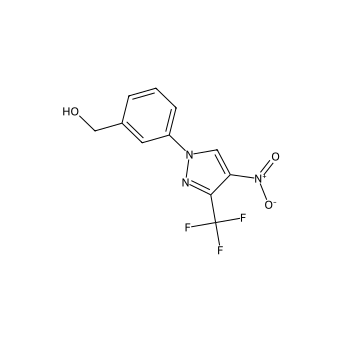 O=[N+]([O-])c1cn(-c2cccc(CO)c2)nc1C(F)(F)F